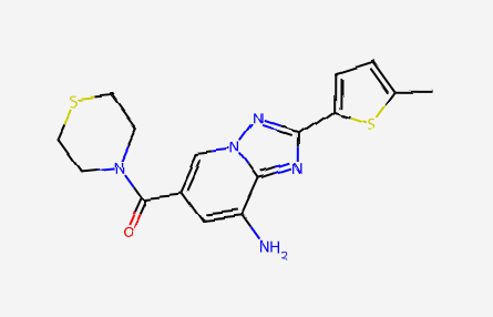 Cc1ccc(-c2nc3c(N)cc(C(=O)N4CCSCC4)cn3n2)s1